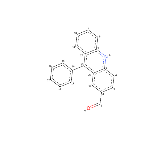 O=Cc1ccc2nc3ccccc3c(-c3ccccc3)c2c1